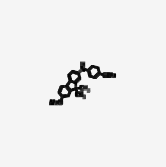 COC1=CC=C(Nc2ccc3c(c2)C(C)(C)c2cc(OC)ccc2-3)CC1